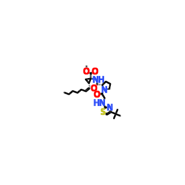 CCCCC/C=C\[C@@H]1C[C@]1(NC(=O)[C@@H]1CCCN1C(=O)CNc1nc(C(C)(C)C)cs1)C(=O)OC